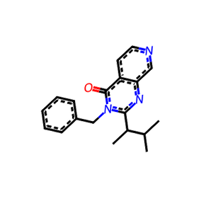 CC(C)C(C)c1nc2cnccc2c(=O)n1Cc1ccccc1